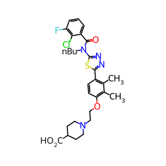 CCCCN(C(=O)c1cccc(F)c1Cl)c1nnc(-c2ccc(OCCN3CCC(C(=O)O)CC3)c(C)c2C)s1